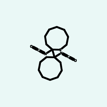 O=C=NC1(C2(N=C=O)CCCCCCCS2)CCCCCCCC1